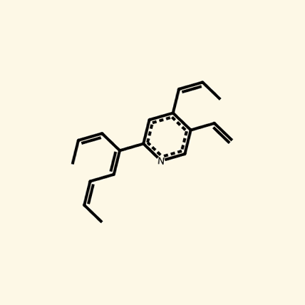 C=Cc1cnc(C(/C=C\C)=C/C=C\C)cc1/C=C\C